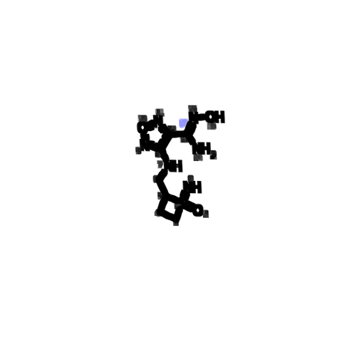 N=S1(=O)CCC1CNc1nonc1/C(N)=N/O